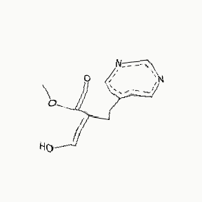 COC(=O)C(=CO)Cc1cncnc1